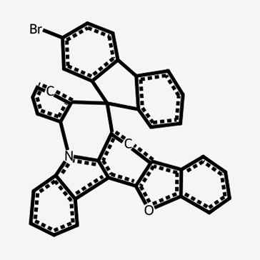 Brc1ccc2c(c1)C1(c3ccccc3-2)c2ccccc2-n2c3ccccc3c3c4oc5ccccc5c4cc1c32